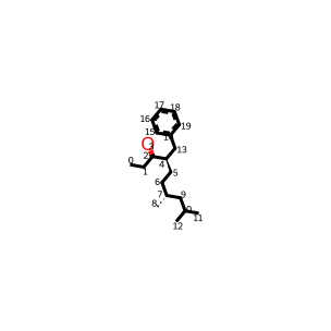 CCC(=O)[C@H](CC[C@@H](C)CC(C)C)Cc1ccccc1